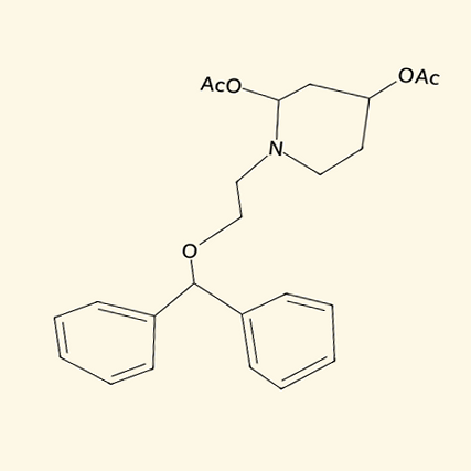 CC(=O)OC1CCN(CCOC(c2ccccc2)c2ccccc2)C(OC(C)=O)C1